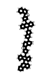 c1ccc2c(c1)cc(-c1c3ccccc3c(-c3ccc4c(c3)oc3ccc5c(-c6ccc7cc(-c8c9ccccc9c(-c9ccc%10c(c9)oc9ccc%11ccccc%11c9%10)c9ccccc89)ccc7c6)cccc5c34)c3ccccc13)c1ccccc12